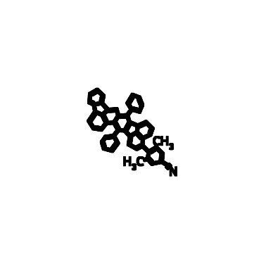 Cc1cc(C#N)cc(C)c1-c1ccc2c3c(-c4ccccc4)c4c(cc5c6ccccc6c6cccc4c65)c(-c4ccccc4)c3c3cccc1c32